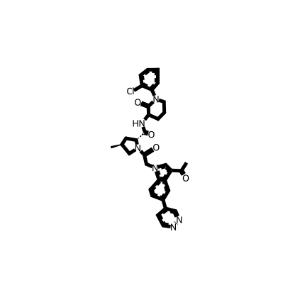 CC(=O)c1cn(CC(=O)N2C[C@@H](C)C[C@@H]2C(=O)NC2CCCN(c3ccccc3Cl)C2=O)c2ccc(-c3ccnnc3)cc12